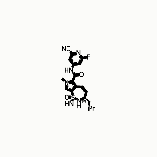 CC(C)C[C@@H]1C=Cc2c(cn(C)c2C(=O)Nc2cc(F)nc(C#N)c2)S(=N)(=O)N1